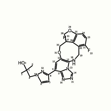 CC(C)(O)Cn1ccc(-c2cc3c(n4cnnc24)NCc2c(F)ccc4c2[C@H](CO4)CO3)n1